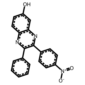 O=[N+]([O-])c1ccc(-c2nc3cc(O)ccc3nc2-c2ccccc2)cc1